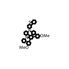 COc1ccc(-c2cc(-c3ccc(OC)cc3)c3c(c2)c2c(N(c4ccccc4)c4ccc5sc6ccccc6c5c4)cccc2n3-c2ccccc2)cc1